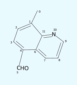 Cc1ccc(C=O)c2cccnc12